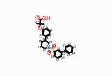 CC(C)(Oc1cccc(C2CCCN(S(=O)(=O)c3cccc(-c4ccccc4)c3)C2)c1)C(=O)O